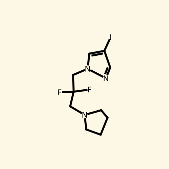 FC(F)(CN1CCCC1)Cn1cc(I)cn1